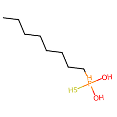 CCCCCCCC[PH](O)(O)S